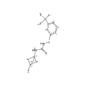 O=C(NCc1ccnc(C(F)(F)F)c1)NC12CC(F)(C1)C2